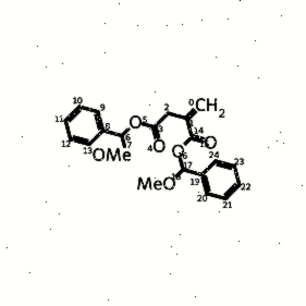 C=C(CC(=O)OC(OC)c1ccccc1)C(=O)OC(OC)c1ccccc1